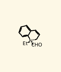 CC[N+]1(C=O)CC=Cc2ccccc21